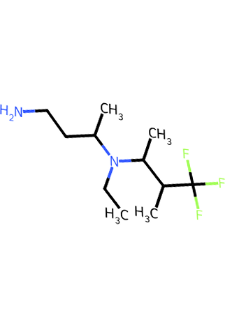 CCN(C(C)CCN)C(C)C(C)C(F)(F)F